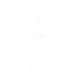 N#Cc1ccc(C(=O)NC2CCC(=O)NC2=O)cc1